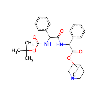 CC(C)(C)OC(=O)NC(C(=O)NC(C(=O)OC1CN2CCC1CC2)c1ccccc1)c1ccccc1